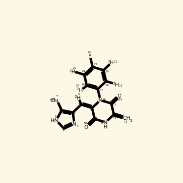 [2H]C(c1nc[nH]c1C(C)(C)C)=c1c(=O)[nH]c(=C)c(=O)n1-c1c([2H])c([2H])c(F)c([2H])c1[2H]